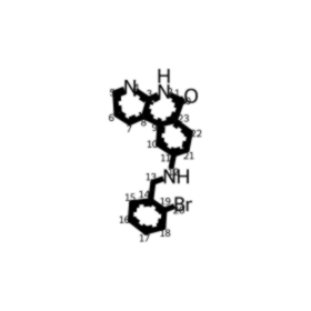 O=c1[nH]c2ncccc2c2cc(NCc3ccccc3Br)ccc12